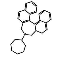 C1=c2ccccc2=C2c3c(ccc4ccccc34)CP(C3CCCCCC3)CC2C1